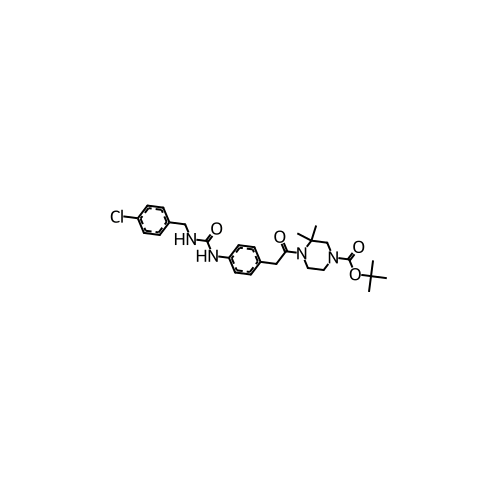 CC(C)(C)OC(=O)N1CCN(C(=O)Cc2ccc(NC(=O)NCc3ccc(Cl)cc3)cc2)C(C)(C)C1